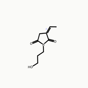 C/C=C1/CC(=O)N(CCCO)C1=O